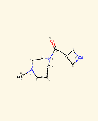 CN1CCCN(C(=O)C2CNC2)CC1